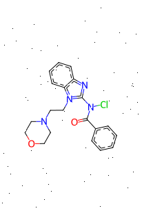 O=C(c1ccccc1)N(Cl)c1nc2ccccc2n1CCN1CCOCC1